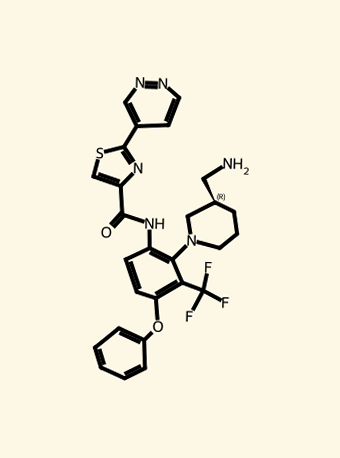 NC[C@H]1CCCN(c2c(NC(=O)c3csc(-c4ccnnc4)n3)ccc(Oc3ccccc3)c2C(F)(F)F)C1